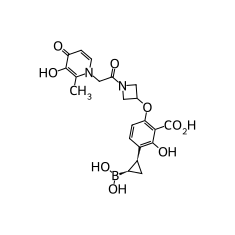 Cc1c(O)c(=O)ccn1CC(=O)N1CC(Oc2ccc([C@H]3C[C@H]3B(O)O)c(O)c2C(=O)O)C1